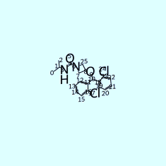 CC(C)NC(=O)N1CC(OC(c2ccccc2Cl)c2ccccc2Cl)C1